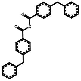 O=C(OC(=O)c1ccc(Cc2ccccc2)cc1)c1ccc(Cc2ccccc2)cc1